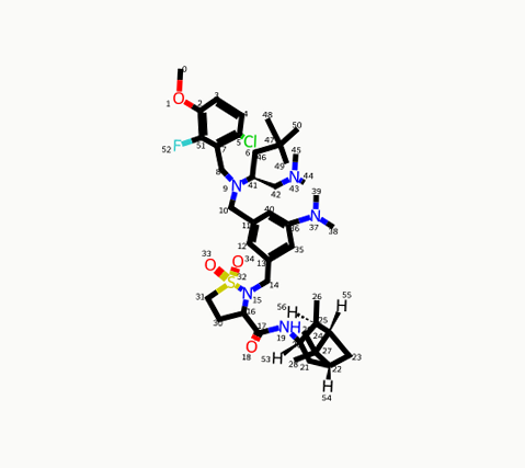 COc1ccc(Cl)c(CN(Cc2cc(CN3C(C(=O)N[C@H]4C[C@H]5C[C@@H]([C@@H]4C)C5(C)C)CCS3(=O)=O)cc(N(C)C)c2)[C@H](CN(C)C)CC(C)(C)C)c1F